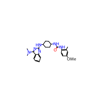 COc1ccc(NC(=O)NC2CCC(Nc3nc(N(C)C)c4ccccc4n3)CC2)c(C)c1